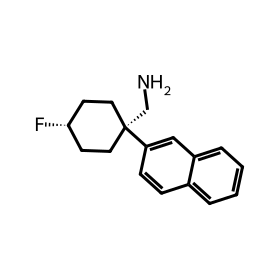 NC[C@]1(c2ccc3ccccc3c2)CC[C@H](F)CC1